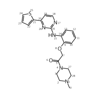 CN1CCN(C(=O)COc2ccccc2Nc2nccc(-c3cccs3)n2)CC1